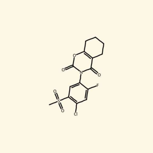 CS(=O)(=O)c1cc(-n2c(=O)oc3c(c2=O)CCCC3)c(F)cc1Cl